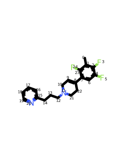 Cc1c(F)c(F)cc(C2=CCN(CCCc3ccccn3)CC2)c1F